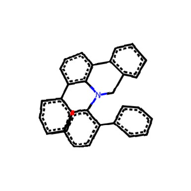 c1ccc(-c2ccccc2N2Cc3ccccc3-c3cccc(-c4ccccc4)c32)cc1